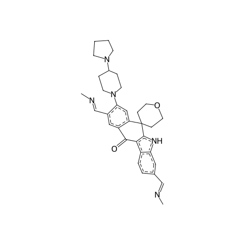 C/N=C/c1ccc2c3c([nH]c2c1)C1(CCOCC1)c1cc(N2CCC(N4CCCC4)CC2)c(/C=N/C)cc1C3=O